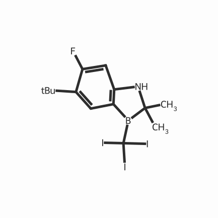 CC1(C)Nc2cc(F)c(C(C)(C)C)cc2B1C(I)(I)I